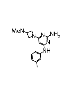 CNC1CN(c2cc(Nc3cccc(C)c3)nc(N)n2)C1